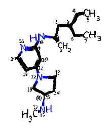 C=C(CC(CC)CC)Nc1cc(N2CC[C@@H](NC)C2)ccn1